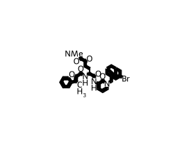 CNC(=O)C(=O)CC[C@H](NC(=O)c1oc2ccccc2c1C)C(=O)Nc1cccn(CC23CC4CC(CC(Br)(C4)C2)C3)c1=O